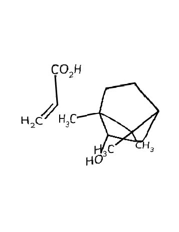 C=CC(=O)O.CC1(C)C2CCC1(C)C(O)C2